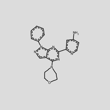 Nc1ccnc(-c2nc(N3CCOCC3)c3cnn(-c4ccccc4)c3n2)c1